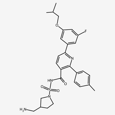 Cc1ccc(-c2nc(-c3cc(F)cc(OCC(C)C)c3)ccc2C(=O)NS(=O)(=O)N2CCC(CN)C2)cc1